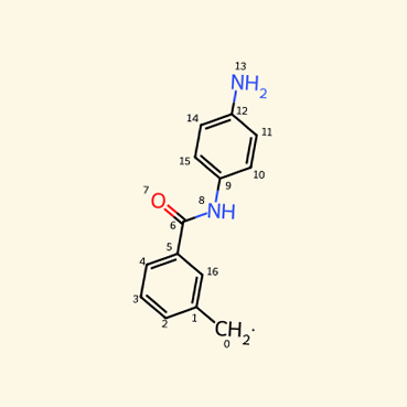 [CH2]c1cccc(C(=O)Nc2ccc(N)cc2)c1